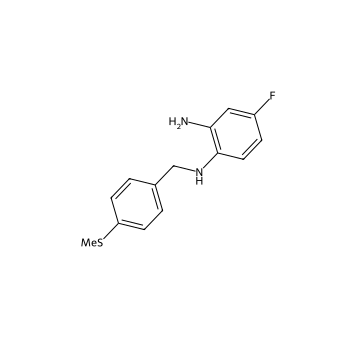 CSc1ccc(CNc2ccc(F)cc2N)cc1